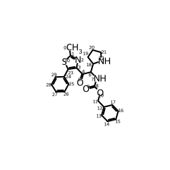 Cc1nc(C(=O)C(NC(=O)OCc2ccccc2)C2CCCN2)c(-c2ccccc2)s1